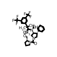 COC[C@@H]1CCCN1C(=O)N1C[C@@H](N(C)C(=O)C(C)(C)c2cc(C(F)(F)F)cc(C(F)(F)F)c2)[C@H](c2ccccc2)C1